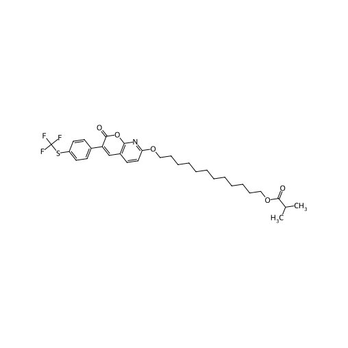 CC(C)C(=O)OCCCCCCCCCCCCOc1ccc2cc(-c3ccc(SC(F)(F)F)cc3)c(=O)oc2n1